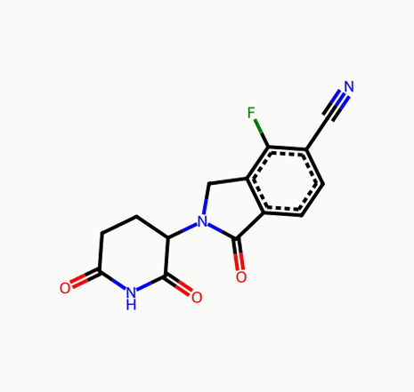 N#Cc1ccc2c(c1F)CN(C1CCC(=O)NC1=O)C2=O